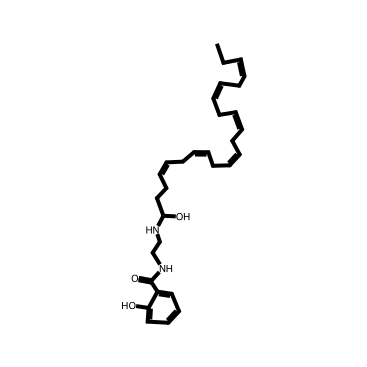 CC/C=C\C/C=C\C/C=C\C/C=C\C/C=C\C/C=C\CCC(O)NCCNC(=O)c1ccccc1O